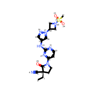 CC[C@]1(C#N)CCN(c2ccnc(Nc3cnn(C4CN(S(C)(=O)=O)C4)c3)n2)C1=O